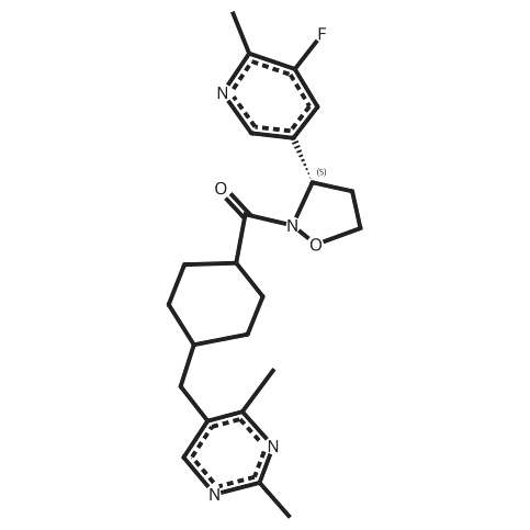 Cc1ncc(CC2CCC(C(=O)N3OCC[C@H]3c3cnc(C)c(F)c3)CC2)c(C)n1